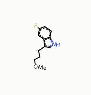 COCC[CH]c1c[nH]c2ccc(F)cc12